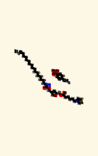 CCCCCCCCCCCCCCCCCNC(=O)OC[C@@H]1CO[C@@H](COC(=O)CCCCC[n+]2ccsc2)C1.Cc1ccc(S(=O)(=O)[O-])cc1